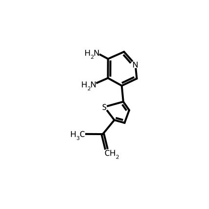 C=C(C)c1ccc(-c2cncc(N)c2N)s1